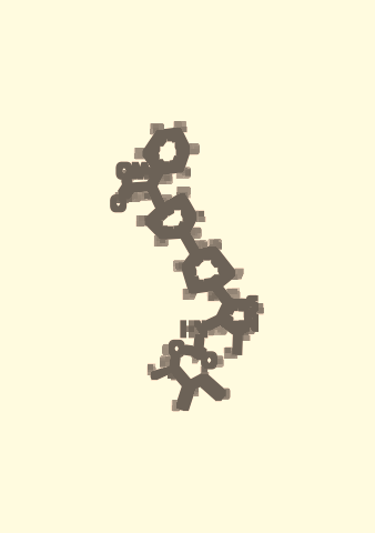 C=CC(=C)[C@@H](C)OC(=O)Nc1c(C)nsc1-c1ccc(-c2ccc(C(C(=O)OC)c3ccccc3)cc2)cc1